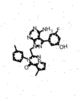 Cc1cccc(-n2c(Cn3nc(-c4cc(O)cc(F)c4)c4c(N)ncnc43)nn3ccc(C)c3c2=O)c1